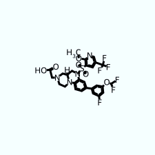 COc1ncc(C(F)(F)F)cc1S(=O)(=O)N1C[C@@H]2CN(CC(=O)O)CCN2c2ccc(-c3cc(F)cc(OC(F)F)c3)cc21